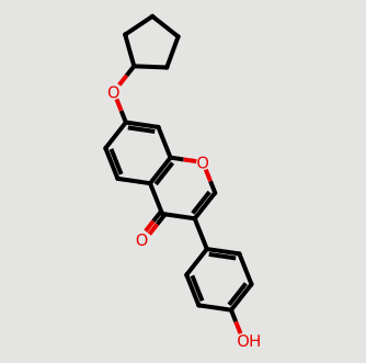 O=c1c(-c2ccc(O)cc2)coc2cc(OC3CCCC3)ccc12